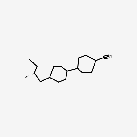 CC[C@@H](C)CC1CCC(C2CCC(C#N)CC2)CC1